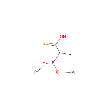 CC(C)OP(OC(C)C)C(C)C(O)=S